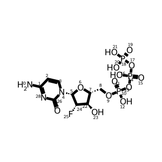 Nc1ccn([C@@H]2O[C@H](COP(=O)(O)OP(=O)(O)OP(=O)(O)O)[C@@H](O)[C@@H]2F)c(=O)n1